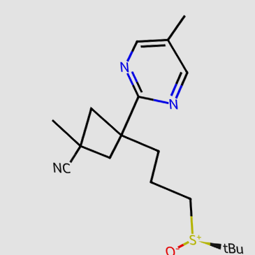 Cc1cnc(C2(CCC[S@+]([O-])C(C)(C)C)CC(C)(C#N)C2)nc1